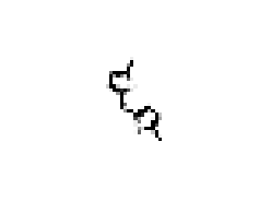 Cc1ccc(Sc2ccc(C)s2)s1